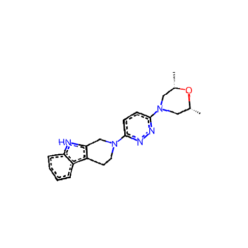 C[C@@H]1CN(c2ccc(N3CCc4c([nH]c5ccccc45)C3)nn2)C[C@H](C)O1